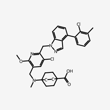 COc1nc(Cn2ncc3c(-c4cccc(C)c4Cl)cccc32)c(Cl)cc1CN(C)C12CCC(C(=O)O)(CC1)CC2